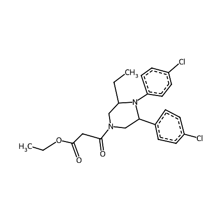 CCOC(=O)CC(=O)N1CC(CC)N(c2ccc(Cl)cc2)C(c2ccc(Cl)cc2)C1